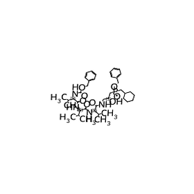 CC(C)[C@H](NC(=O)OCc1ccccc1)C(=O)N[C@H](C(=O)N[C@H](C(=O)NC[C@H](O)CP(=O)(CC1CCCCC1)OCc1ccccc1)C(C)C)C(C)C